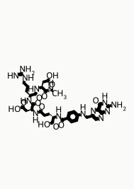 CNC(=O)[C@H](CC(=O)O)NC(=O)[C@H](CCCNC(=N)N)NC(=O)[C@H](CC(=O)O)NC(=O)CC[C@H](NC(=O)c1ccc(NCc2cnc3nc(N)[nH]c(=O)c3n2)cc1)C(=O)O